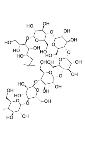 C[C@H]1[C@H](O)[C@@H](O)[C@@H](O[C@H]2[C@H](O)[C@@H](O)[C@@H](O[C@H]3[C@H](O)[C@@H](O)[C@@H](O[C@H]4[C@H](O)[C@@H](O)[C@@H](O[C@H]5[C@H](O)[C@@H](O)[C@@H](O[C@H]6[C@H](O)[C@@H](O)[C@@H](O[C@@H]([C@H](O)[C@@H](O)CC(C)(C)C)[C@H](O)CO)O[C@@H]6CO)O[C@@H]5CO)O[C@@H]4CO)O[C@@H]3CO)O[C@@H]2CO)O[C@@H]1CO